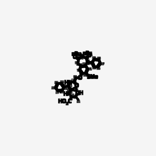 CCCCC1(CCCC)C(=O)Sc2cc(OCC(=O)NC(C(=O)N[C@@H](C(=O)O)[C@H](C)O)c3ccccc3)c(SC)cc2N(c2ccccc2)C1=O